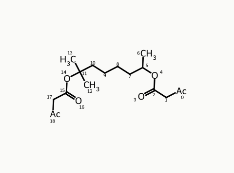 CC(=O)CC(=O)OC(C)CCCCC(C)(C)OC(=O)CC(C)=O